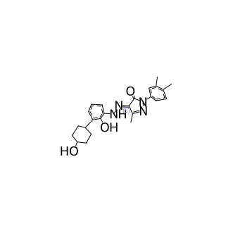 CC1=NN(c2ccc(C)c(C)c2)C(=O)/C1=N/Nc1cccc(C2CCC(O)CC2)c1O